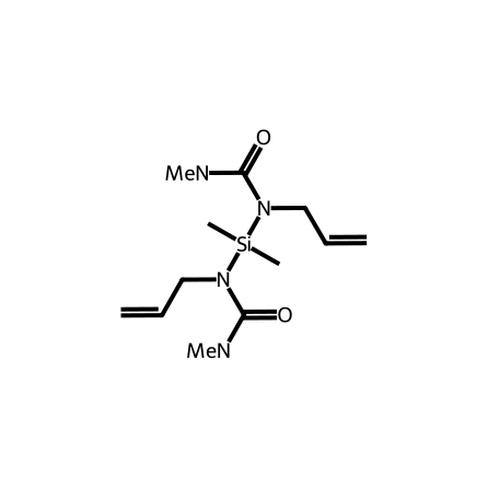 C=CCN(C(=O)NC)[Si](C)(C)N(CC=C)C(=O)NC